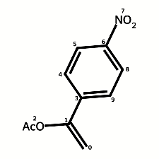 C=C(OC(C)=O)c1ccc([N+](=O)[O-])cc1